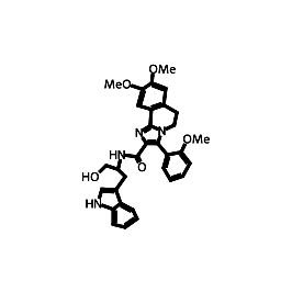 COc1cc2c(cc1OC)-c1nc(C(=O)NC(CO)Cc3c[nH]c4ccccc34)c(-c3ccccc3OC)n1CC2